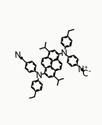 [C-]#[N+]c1ccc(N(c2ccc(CC)cc2)c2cc(C(C)C)c3ccc4c(N(c5ccc(C#N)cc5)c5ccc(CC)cc5)cc(C(C)C)c5ccc2c3c54)cc1